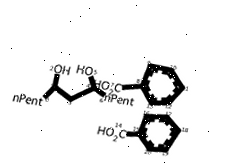 CCCCCC(O)CC(O)CCCCC.O=C(O)c1ccccc1.O=C(O)c1ccccc1